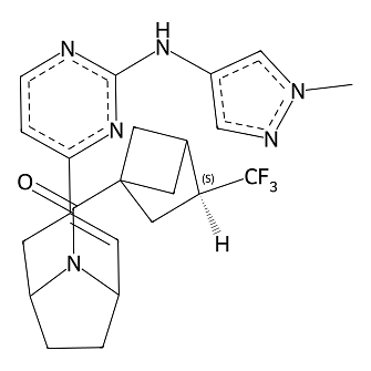 Cn1cc(Nc2nccc(C3=CC4CCC(C3)N4C(=O)C34CC(C3)[C@@H](C(F)(F)F)C4)n2)cn1